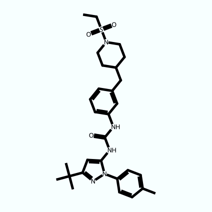 CCS(=O)(=O)N1CCC(Cc2cccc(NC(=O)Nc3cc(C(C)(C)C)nn3-c3ccc(C)cc3)c2)CC1